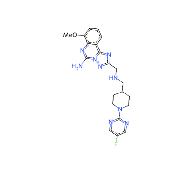 COc1cccc2c1nc(N)n1nc(CNCC3CCN(c4ncc(F)cn4)CC3)nc21